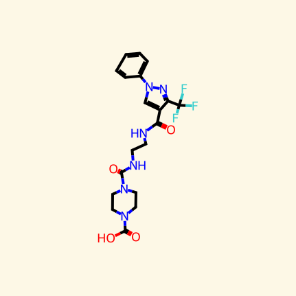 O=C(NCCNC(=O)N1CCN(C(=O)O)CC1)c1cn(-c2ccccc2)nc1C(F)(F)F